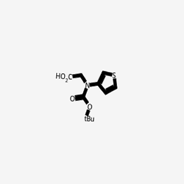 CC(C)(C)OC(=O)N(CC(=O)O)c1ccsc1